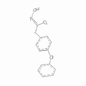 O/N=C(\Cl)Cc1ccc(Oc2ccccc2)cc1